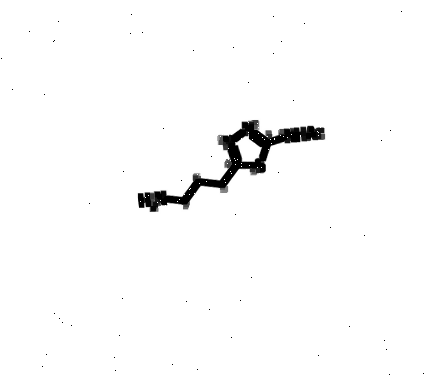 CC(=O)Nc1nnc(CCCN)s1